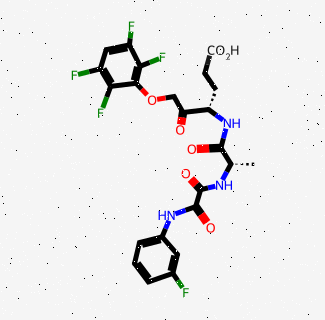 C[C@H](NC(=O)C(=O)Nc1cccc(F)c1)C(=O)N[C@@H](CCC(=O)O)C(=O)COc1c(F)c(F)cc(F)c1F